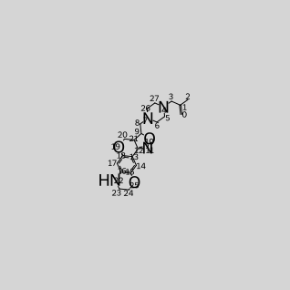 C=C(C)CN1CCN(CC2ON=C3c4cc5c(cc4OCC32)NCCO5)CC1